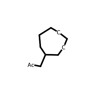 CC(=O)CC1CCCCCCC1